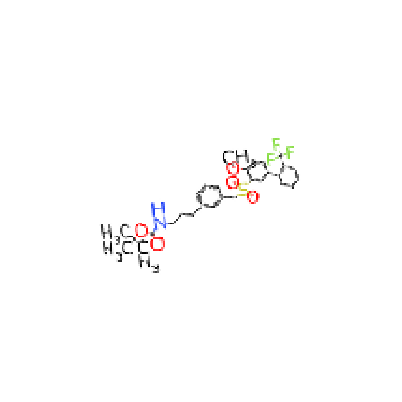 COc1ccc(-c2ccccc2C(F)(F)F)cc1S(=O)(=O)Cc1cccc(CCCNC(=O)OC(C)(C)C)c1